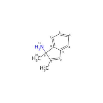 CC1=Cc2ccccc2C1(C)N